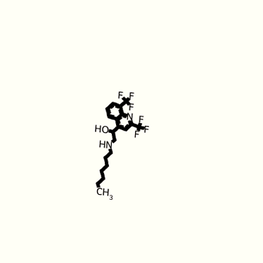 CCCCCCCNCC(O)c1cc(C(F)(F)F)nc2c(C(F)(F)F)cccc12